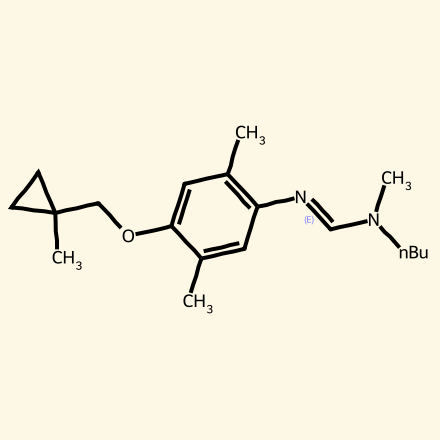 CCCCN(C)/C=N/c1cc(C)c(OCC2(C)CC2)cc1C